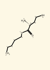 CCCCCOC(=O)[C@H](N)CCS